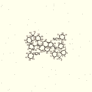 CC1(C)c2ccccc2-c2c(N(c3cccc(-c4ccccc4C#N)c3)c3ccc4ccc5c(N(c6cccc(-c7ccccc7C#N)c6)c6cccc7c6-c6ccccc6C7(C)C)ccc6ccc3c4c65)cccc21